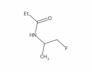 CCC(=O)NC(C)CF